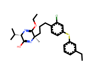 CCOC1=N[C@@H](C(C)C)C(O)=N[C@]1(C)CCCc1ccc(Sc2cccc(CC)c2)cc1Cl